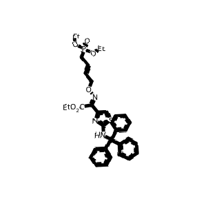 CCOC(=O)/C(=N\OC/C=C/CP(=O)(OCC)OCC)c1csc(NC(c2ccccc2)(c2ccccc2)c2ccccc2)n1